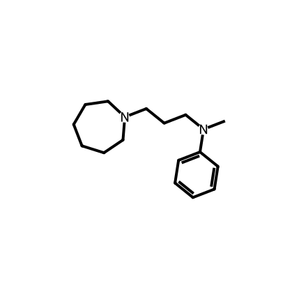 CN(CCCN1CCCCCC1)c1ccccc1